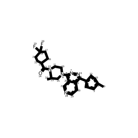 Cc1ccc(-c2nnc(N3CCN(C(=O)C4CCC(F)(F)CC4)C(C)C3)c3cnccc23)cc1